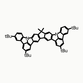 CC(C)(C)c1ccc2c(c1)c1cc(C(C)(C)C)cc3c4cc5c(cc4n2c13)C(C)(C)c1cc2c(cc1-5)c1cc(C(C)(C)C)cc3c4cc(C(C)(C)C)ccc4n2c31